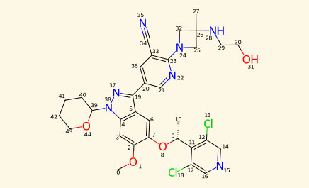 COc1cc2c(cc1O[C@H](C)c1c(Cl)cncc1Cl)c(-c1cnc(N3CC(C)(NCCO)C3)c(C#N)c1)nn2C1CCCCO1